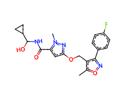 Cc1onc(-c2ccc(F)cc2)c1COc1cc(C(=O)NC(O)C2CC2)n(C)n1